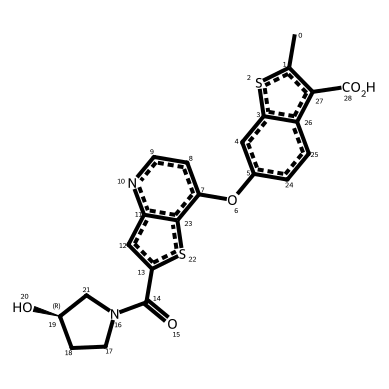 Cc1sc2cc(Oc3ccnc4cc(C(=O)N5CC[C@@H](O)C5)sc34)ccc2c1C(=O)O